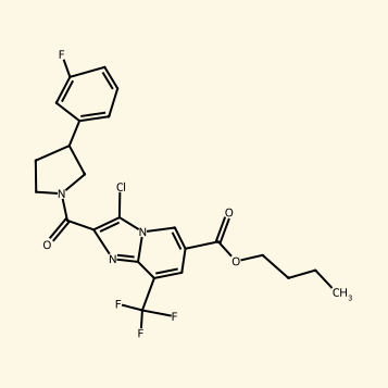 CCCCOC(=O)c1cc(C(F)(F)F)c2nc(C(=O)N3CCC(c4cccc(F)c4)C3)c(Cl)n2c1